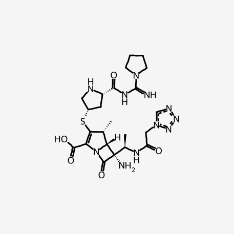 C[C@H]1C(S[C@@H]2CN[C@H](C(=O)NC(=N)N3CCCC3)C2)=C(C(=O)O)N2C(=O)[C@](N)([C@@H](C)NC(=O)Cn3cnnn3)[C@@H]12